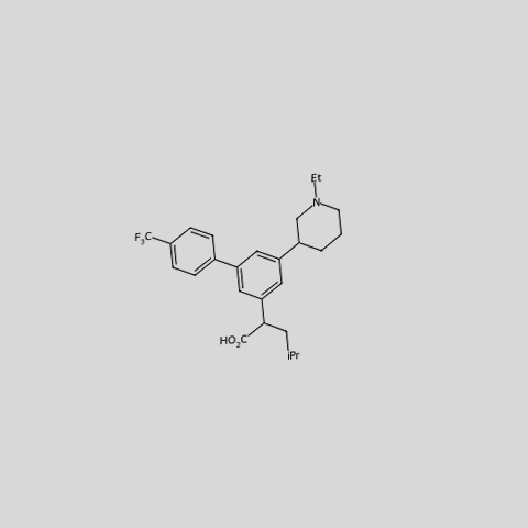 CCN1CCCC(c2cc(-c3ccc(C(F)(F)F)cc3)cc(C(CC(C)C)C(=O)O)c2)C1